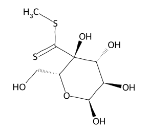 CSC(=S)[C@]1(O)[C@H](O)[C@@H](O)[C@@H](O)O[C@@H]1CO